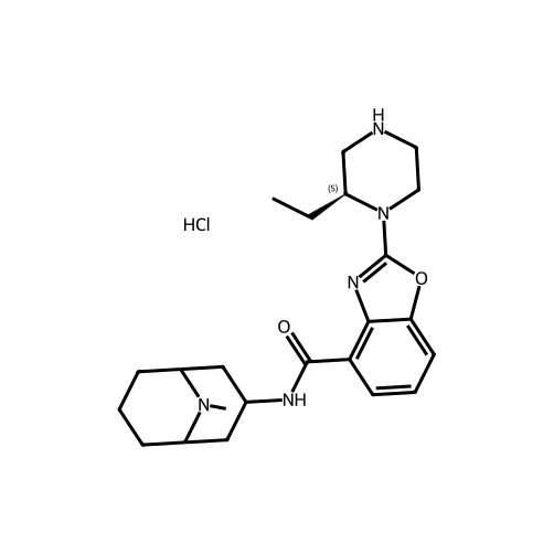 CC[C@H]1CNCCN1c1nc2c(C(=O)NC3CC4CCCC(C3)N4C)cccc2o1.Cl